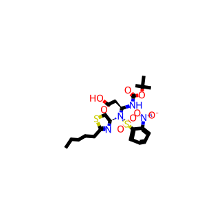 CCCCCC1=N[C@@H](N([C@@H](CC(=O)O)NC(=O)OC(C)(C)C)S(=O)(=O)c2ccccc2[N+](=O)[O-])CS1